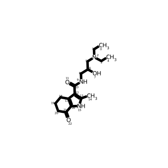 CCN(CC)CC(O)CNC(=O)c1c(C)[nH]c2c1CCCC2=O